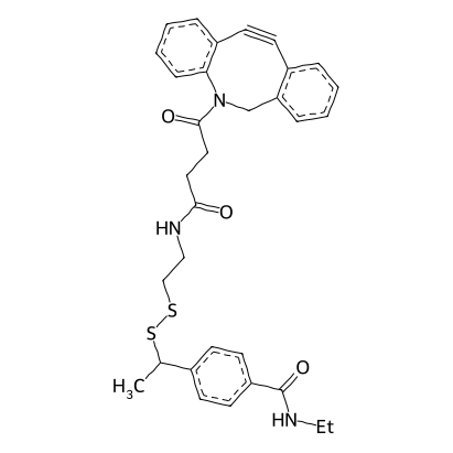 CCNC(=O)c1ccc(C(C)SSCCNC(=O)CCC(=O)N2Cc3ccccc3C#Cc3ccccc32)cc1